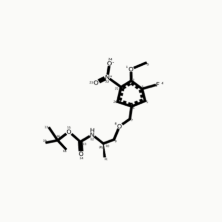 COc1c(F)cc(COC[C@@H](C)NC(=O)OC(C)(C)C)cc1[N+](=O)[O-]